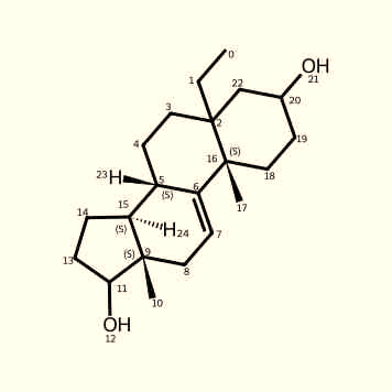 CCC12CC[C@@H]3C(=CC[C@]4(C)C(O)CC[C@@H]34)[C@@]1(C)CCC(O)C2